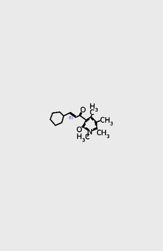 Cc1c(C)c(C)n(C)c(=O)c1C(=O)/C=C/C1CCCCC1